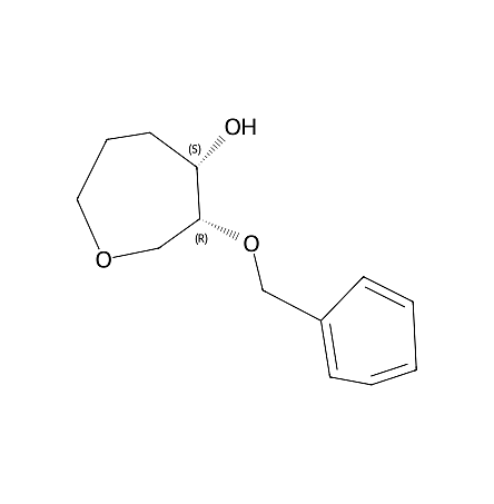 O[C@H]1CCCOC[C@H]1OCc1ccccc1